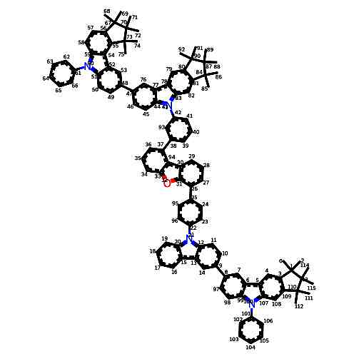 CC1(C)c2cc3c4cc(-c5ccc6c(c5)c5ccccc5n6-c5ccc(-c6cccc7c6oc6cccc(-c8cccc(-n9c%10ccc(-c%11ccc%12c(c%11)c%11c%13c(ccc%11n%12-c%11ccccc%11)C(C)(C)C(C)(C)C%13(C)C)cc%10c%10cc%11c(cc%109)C(C)(C)C(C)(C)C%11(C)C)c8)c67)cc5)ccc4n(-c4ccccc4)c3cc2C(C)(C)C1(C)C